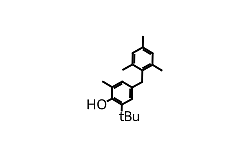 Cc1cc(C)c(Cc2cc(C)c(O)c(C(C)(C)C)c2)c(C)c1